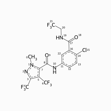 Cn1nc(C(F)(F)F)c(C(F)(F)F)c1C(=O)Nc1ccc(Cl)c(C(=O)NCC(F)(F)F)c1